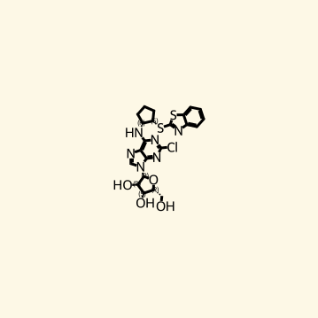 OC[C@H]1O[C@@H](n2cnc3c(N[C@@H]4CCC[C@@H]4Sc4nc5ccccc5s4)nc(Cl)nc32)[C@H](O)[C@@H]1O